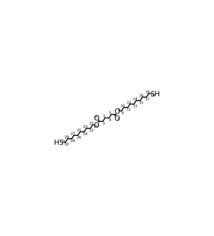 O=C(CCCCC(=O)OCCCCCCCCCCS)OCCCCCCCCCCS